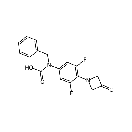 O=C1CN(c2c(F)cc(N(Cc3ccccc3)C(=O)O)cc2F)C1